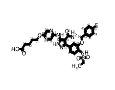 CCS(=O)(=O)Nc1ccc(-c2n[nH]c(Nc3cnc(OCCCCC(=O)O)cn3)c2C(N)=O)cc1OCc1ccc(F)cc1